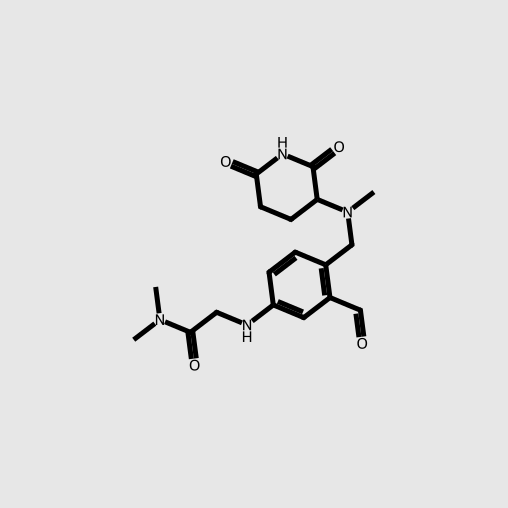 CN(C)C(=O)CNc1ccc(CN(C)C2CCC(=O)NC2=O)c(C=O)c1